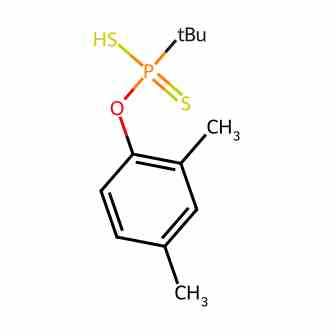 Cc1ccc(OP(=S)(S)C(C)(C)C)c(C)c1